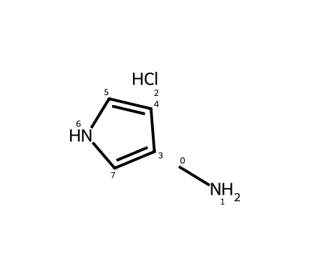 CN.Cl.c1cc[nH]c1